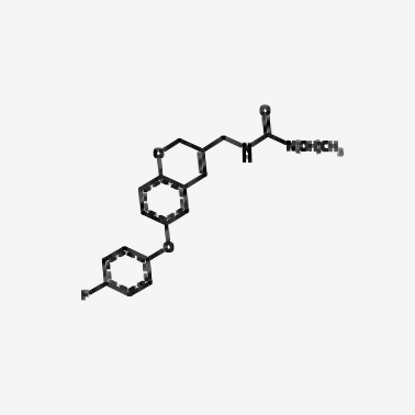 CN(O)C(=O)NCC1=Cc2cc(Oc3ccc(F)cc3)ccc2OC1